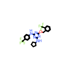 FC(F)(F)c1ccc(Nc2nc(NC3CCCC3)nc(OCc3ccccc3C(F)(F)F)n2)cc1